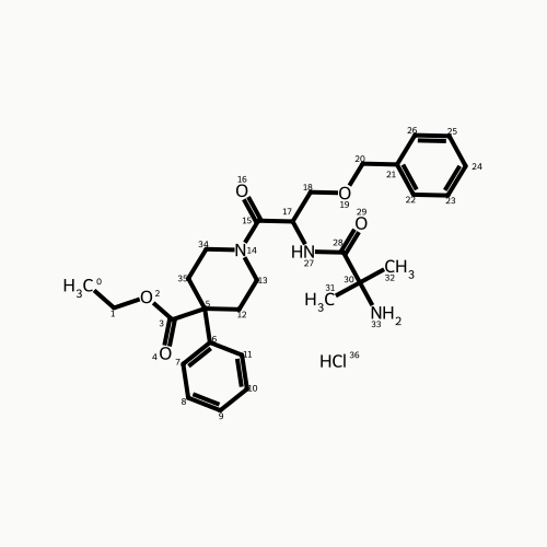 CCOC(=O)C1(c2ccccc2)CCN(C(=O)C(COCc2ccccc2)NC(=O)C(C)(C)N)CC1.Cl